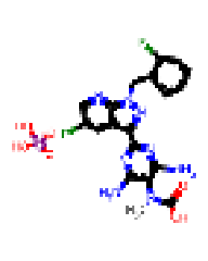 CN(C(=O)O)c1c(N)nc(-c2nn(Cc3ccccc3F)c3ncc(F)cc23)nc1N.O=P(O)(O)O